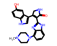 CN1CCN(c2cccc3[nH]c(C4=C(c5c[nH]c6ccc(O)cc56)CNC4=O)nc23)CC1